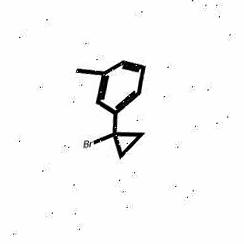 Cc1cccc(C2(Br)CC2)c1